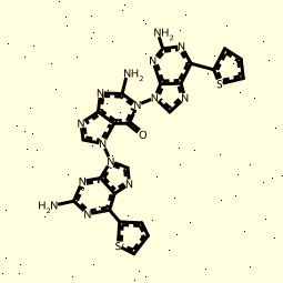 Nc1nc(-c2cccs2)c2ncn(-n3c(N)nc4ncn(-n5cnc6c(-c7cccs7)nc(N)nc65)c4c3=O)c2n1